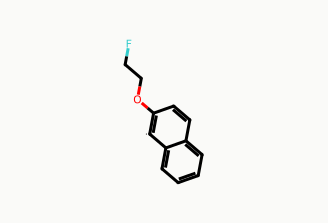 FCCOc1[c]c2ccccc2cc1